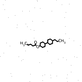 C=CCCC(=O)OC1CCC(C2CCC(CCC)CC2)CC1